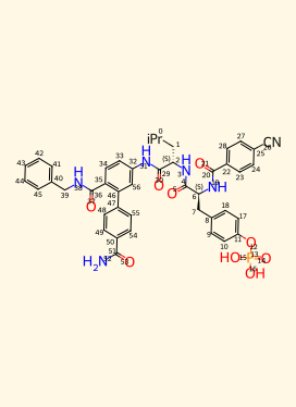 CC(C)C[C@H](NC(=O)[C@H](Cc1ccc(OP(=O)(O)O)cc1)NC(=O)c1ccc(C#N)cc1)C(=O)Nc1ccc(C(=O)NCc2ccccc2)c(-c2ccc(C(N)=O)cc2)c1